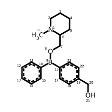 CN1CCCCC1COB(c1ccccc1)c1ccc(CO)cc1